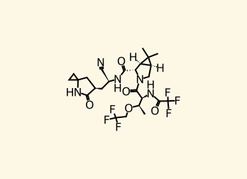 C[C@@H](OCC(F)(F)F)[C@H](NC(=O)C(F)(F)F)C(=O)N1C[C@H]2[C@@H]([C@H]1C(=O)N[C@H](C#N)C[C@@H]1CC3(CC3)NC1=O)C2(C)C